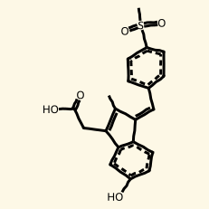 CC1=C(CC(=O)O)c2cc(O)ccc2C1=Cc1ccc(S(C)(=O)=O)cc1